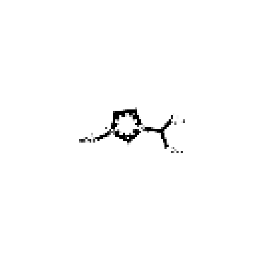 CCCCCCCCC(C)[n+]1ccn(CCCCCCCC)c1